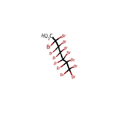 O=C(O)C(Br)(Br)C(Br)(Br)C(Br)(Br)C(Br)(Br)C(Br)(Br)C(Br)(Br)Br